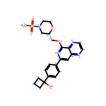 CS(=O)(=O)N1CCO[C@H](COc2nc(-c3ccc(C4(O)CCC4)cc3)cc3nccnc23)C1